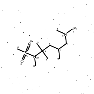 CC(CN(C)C(C)C)CC(C)(C)N(C)S(C)(=O)=O